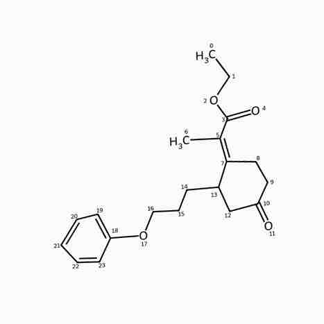 CCOC(=O)/C(C)=C1\CCC(=O)CC1CCCOc1ccccc1